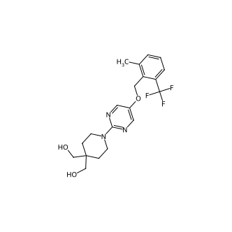 Cc1cccc(C(F)(F)F)c1COc1cnc(N2CCC(CO)(CO)CC2)nc1